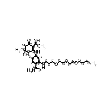 CC(=N)C1=C(Nc2ccc(C(N)=O)c(NCCCOCCOCCOCCCN)c2)CC(C)(C)CC1=O